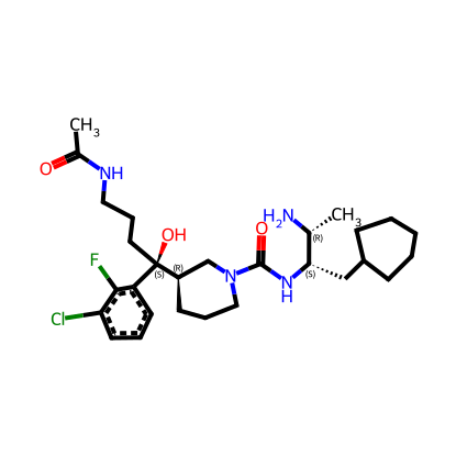 CC(=O)NCCC[C@@](O)(c1cccc(Cl)c1F)[C@@H]1CCCN(C(=O)N[C@@H](CC2CCCCC2)[C@@H](C)N)C1